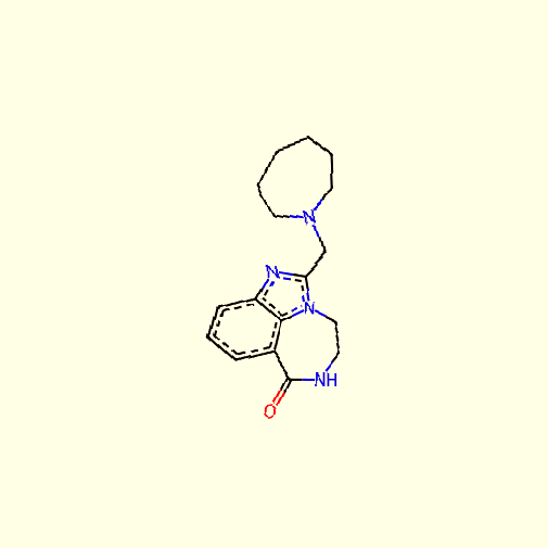 O=C1NCCn2c(CN3CCCCCC3)nc3cccc1c32